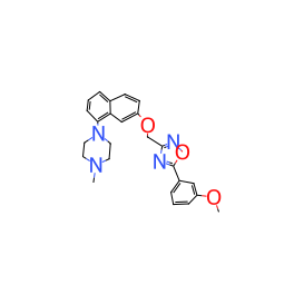 COc1cccc(-c2nc(COc3ccc4cccc(N5CCN(C)CC5)c4c3)no2)c1